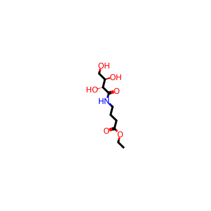 CCOC(=O)CCCNC(=O)[C@H](O)[C@H](O)CO